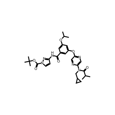 CC(C)Oc1cc(Oc2cnc(N(CC3CC3)C(=O)C(C)C)cn2)cc(C(=O)Nc2ccn(C(=O)OC(C)(C)C)n2)c1